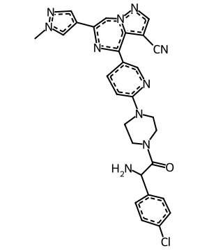 Cn1cc(-c2cn3ncc(C#N)c3c(-c3ccc(N4CCN(C(=O)C(N)c5ccc(Cl)cc5)CC4)nc3)n2)cn1